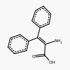 NC(C(=O)O)=C(c1ccccc1)c1ccccc1